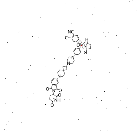 N#Cc1ccc(OC2C[C@H]3CC[C@@H](C2)N3C(=O)c2ccc(N3CCN(C4CC5(CCN(c6ccc7c(c6)C(=O)N(C6CCC(=O)NC6=O)C7=O)CC5)C4)CC3)cc2)cc1Cl